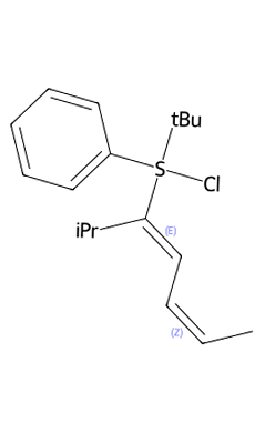 C/C=C\C=C(/C(C)C)S(Cl)(c1ccccc1)C(C)(C)C